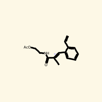 C=Cc1ccccc1/C=C(\C)C(=O)NCCOC(C)=O